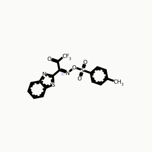 Cc1ccc(S(=O)(=O)O/N=C(\C(=O)C(F)(F)F)c2nc3ccccc3s2)cc1